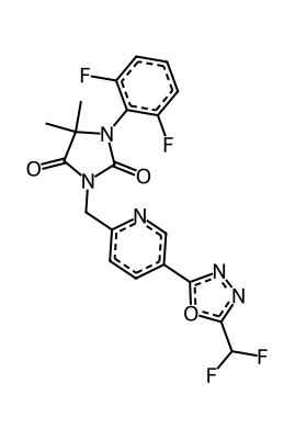 CC1(C)C(=O)N(Cc2ccc(-c3nnc(C(F)F)o3)cn2)C(=O)N1c1c(F)cccc1F